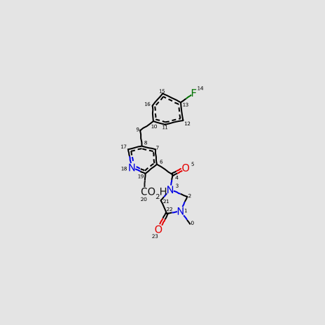 CN1CN(C(=O)c2cc(Cc3ccc(F)cc3)cnc2C(=O)O)CC1=O